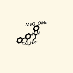 COc1cc2nc(CCC(C)C)n(-c3ccc(-c4ccccc4C(=O)O)c(C)c3)c2cc1OC